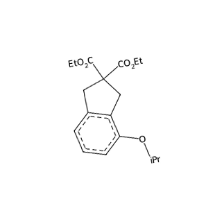 CCOC(=O)C1(C(=O)OCC)Cc2cccc(OC(C)C)c2C1